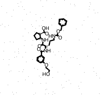 O=C(NCCC[C@H](NC(=O)c1cccc(OCCO)c1)C(=O)N[C@H]1CCC[C@H]1C(=O)O)OCc1ccccc1